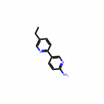 CCc1ccc(-c2ccc(N)nc2)nc1